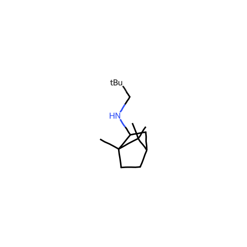 CC(C)(C)CNC1CC2CCC1(C)C2(C)C